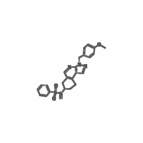 COc1ccc(Cn2ncc3c4c(cnc32)CC(NS(=O)(=O)c2ccccc2)CC4)cc1